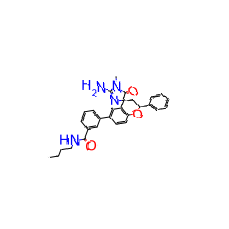 CCCCNC(=O)c1cccc(-c2ccc3c(c2)[C@]2(C[C@@H](c4ccccc4)O3)N=C(N)N(C)C2=O)c1